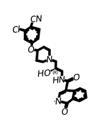 N#Cc1ccc(OC2CCN(C[C@H](O)CNC(=O)C3=C[N]C(=O)c4ccccc43)CC2)cc1Cl